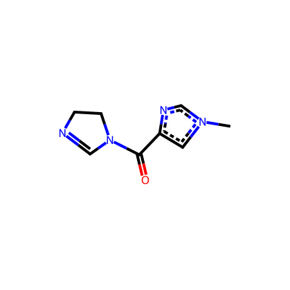 Cn1cnc(C(=O)N2C=NCC2)c1